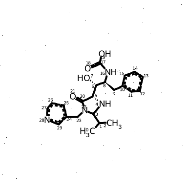 CC(C)C1N[C@@H]([C@H](O)[C@H](Cc2ccccc2)NC(=O)O)C(=O)N1Cc1cccnc1